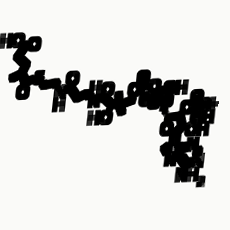 CC(CCC(=O)O)C(=O)SCCNC(=O)CCNC(=O)[C@H](O)C(C)(C)COP(=O)(O)OP(=O)(O)OC[C@H]1O[C@@H](n2cnc3c(N)ncnc32)[C@H](O)[C@@H]1OP(=O)(O)O